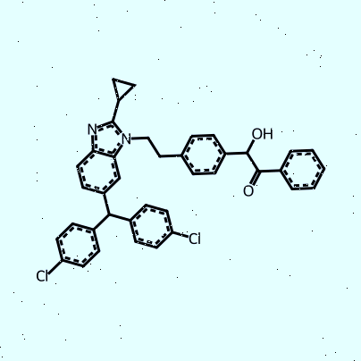 O=C(c1ccccc1)C(O)c1ccc(CCn2c(C3CC3)nc3ccc(C(c4ccc(Cl)cc4)c4ccc(Cl)cc4)cc32)cc1